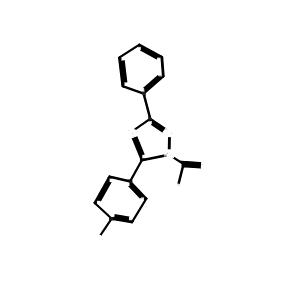 CC(=O)n1nc(-c2ccccc2)nc1-c1ccc(C)cc1